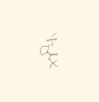 CCS(=O)(=O)O[C@H]1CCCN1C(=O)OC(C)(C)C